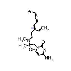 C=C/C(=C\C=C=CC(C)C)CCN(C)C(C)(O)Cn1ccc(N)nc1=O